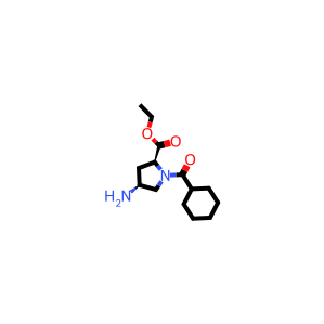 CCOC(=O)[C@@H]1C[C@H](N)CN1C(=O)C1CCCCC1